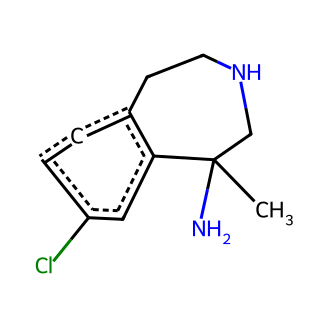 CC1(N)CNCCc2ccc(Cl)cc21